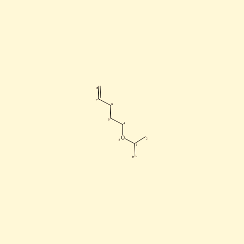 [CH2]C(C)OCCCC=C